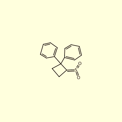 O=S(=O)=C1CCC1(c1ccccc1)c1ccccc1